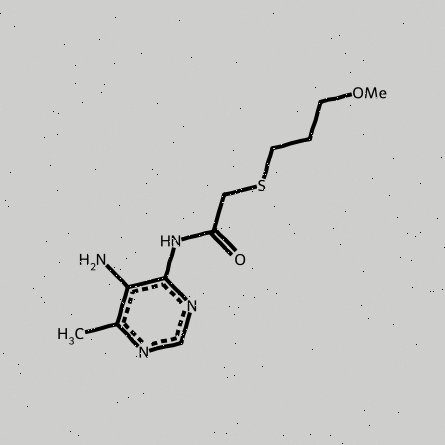 COCCCSCC(=O)Nc1ncnc(C)c1N